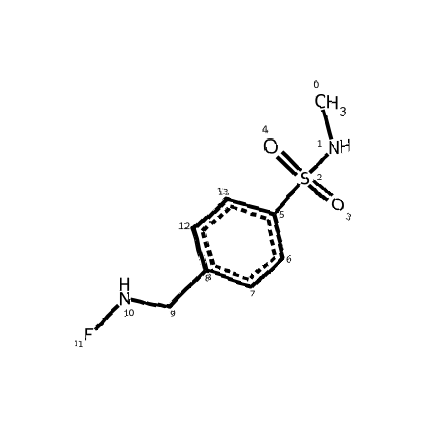 CNS(=O)(=O)c1ccc(CNF)cc1